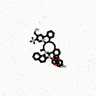 C=C1CC2C(CCc3ccc4c(sc5ccccc54)c3-c3n(-c4ccc(C(C)(C)C)cc4)c4ccc5ccccc5c4[n+]31)c1ccccc1-c1cc(CC(C)C)c([Si](C)(C)C)c[n+]12